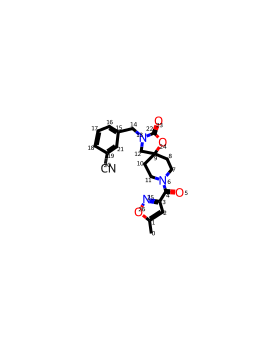 Cc1cc(C(=O)N2CCC3(CC2)CN(Cc2cccc(C#N)c2)C(=O)O3)no1